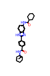 O=C(NC1CC2CCC1CC2)c1ccc(-c2nc3cc(NC(=O)C4CCCCC4)ccc3[nH]2)cc1